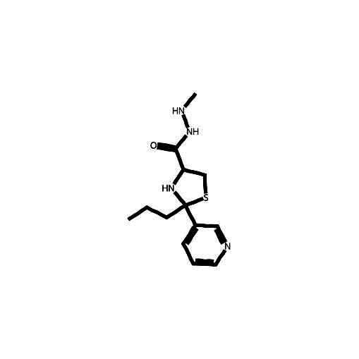 CCCC1(c2cccnc2)NC(C(=O)NNC)CS1